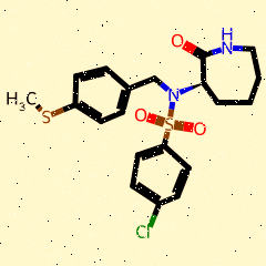 CSc1ccc(CN([C@@H]2CCCCNC2=O)S(=O)(=O)c2ccc(Cl)cc2)cc1